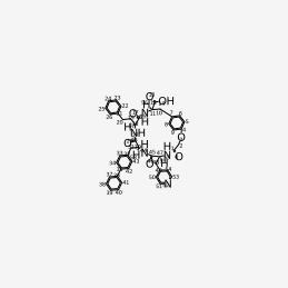 O=C1COc2ccc(cc2)C[C@@H](C(=O)O)NC(=O)[C@H](CCc2ccccc2)NC(=O)[C@@H](Cc2ccc(-c3ccccc3)cc2)NC(=O)[C@H](Cc2ccncc2)N1